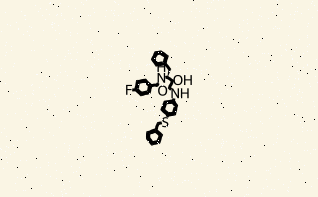 O=C(N[C@@H](Cc1ccccc1)[C@H](O)CNc1ccc(SCc2ccccc2)cc1)c1ccc(F)cc1